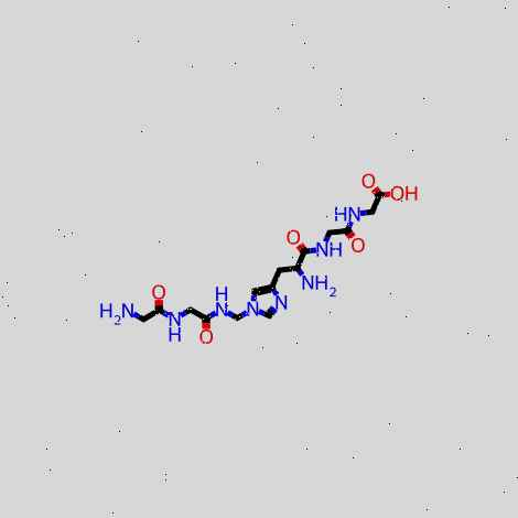 NCC(=O)NCC(=O)NCn1cnc(CC(N)C(=O)NCC(=O)NCC(=O)O)c1